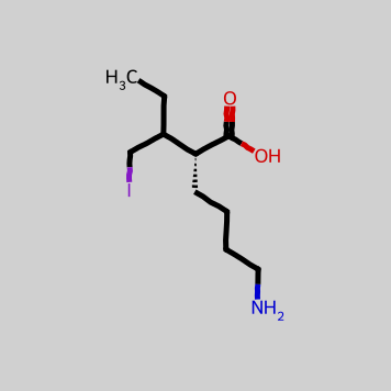 CCC(CI)[C@@H](CCCCN)C(=O)O